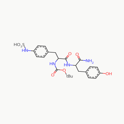 CC(C)(C)OC(=O)NC(Cc1ccc(NS(=O)(=O)O)cc1)C(=O)NC(Cc1ccc(O)cc1)C(N)=O